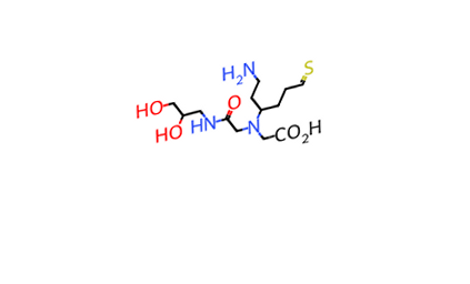 NCCC(CCC=S)N(CC(=O)O)CC(=O)NCC(O)CO